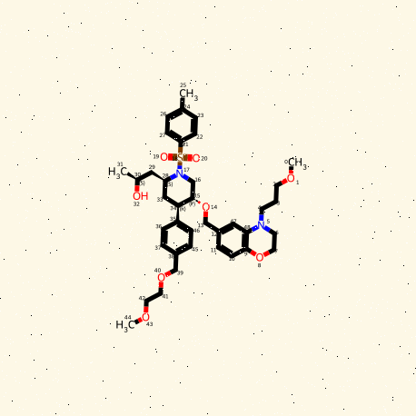 COCCCN1CCOc2ccc(CO[C@H]3CN(S(=O)(=O)c4ccc(C)cc4)[C@H](C[C@H](C)O)C[C@@H]3c3ccc(COCCOC)cc3)cc21